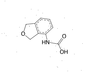 O=C(O)Nc1cccc2c1COC2